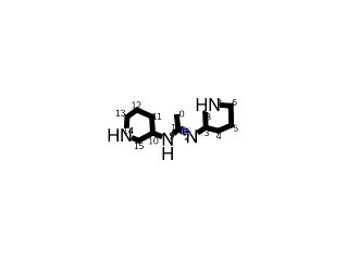 C/C(=N\C1CCCNC1)NC1CCCNC1